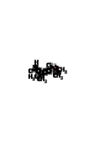 COC(=O)C1(C)CCN(C(Cl)C2=Cc3ccc(OC(c4ccc5[nH]nc(Cl)c5c4)C(C)C)cc3CC2)C1